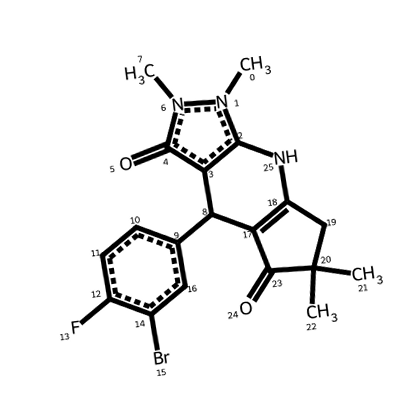 Cn1c2c(c(=O)n1C)C(c1ccc(F)c(Br)c1)C1=C(CC(C)(C)C1=O)N2